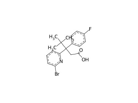 CC(C)(C)C(CC(=O)O)(c1ccc(F)cc1)c1cccc(Br)n1